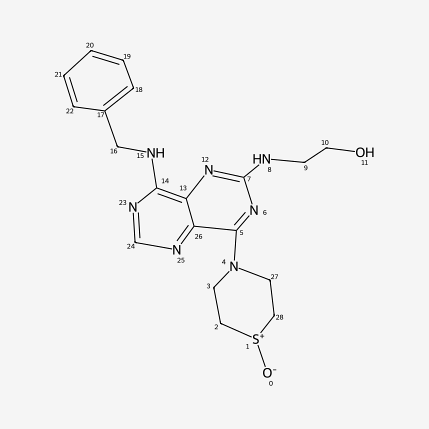 [O-][S+]1CCN(c2nc(NCCO)nc3c(NCc4ccccc4)ncnc23)CC1